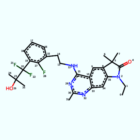 CCN1C(=O)C(C)(C)c2cc3c(NCCc4cccc(C(F)(F)C(C)(C)O)c4F)nc(C)nc3cc21